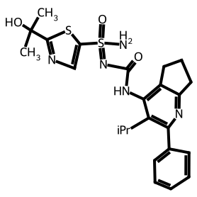 CC(C)c1c(-c2ccccc2)nc2c(c1NC(=O)N=S(N)(=O)c1cnc(C(C)(C)O)s1)CCC2